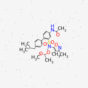 COC(C)OCN(c1onc(C)c1C)S(=O)(=O)c1cc(NC(C)=O)ccc1-c1ccc(CC(C)C)cc1